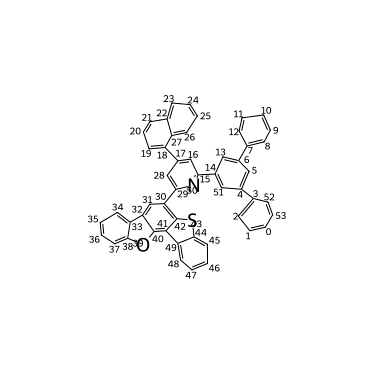 c1ccc(-c2cc(-c3ccccc3)cc(-c3cc(-c4cccc5ccccc45)cc(-c4cc5c6ccccc6oc5c5c4sc4ccccc45)n3)c2)cc1